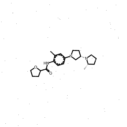 Cc1cc(N2CC[C@H](N3CCC[C@@H]3C)C2)ccc1NC(=O)C1CCCO1